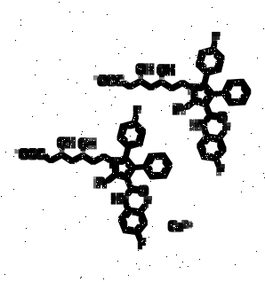 CC(C)c1c(C(=O)Nc2ccc(F)cc2F)c(-c2ccccc2)c(-c2ccc(F)cc2)n1CC[C@@H](O)C[C@@H](O)CC(=O)[O-].CC(C)c1c(C(=O)Nc2ccc(F)cc2F)c(-c2ccccc2)c(-c2ccc(F)cc2)n1CC[C@@H](O)C[C@@H](O)CC(=O)[O-].[Ca+2]